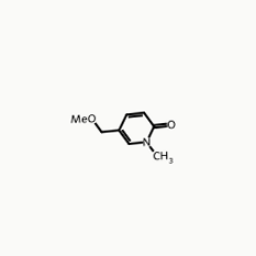 COCc1ccc(=O)n(C)c1